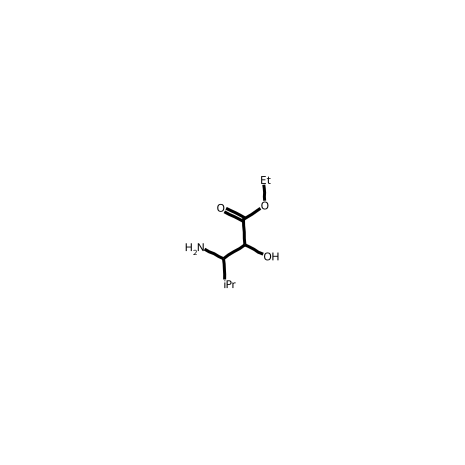 CCOC(=O)C(O)C(N)C(C)C